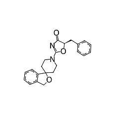 O=C1N=C(N2CCC3(CC2)OCc2ccccc23)O[C@@H]1Cc1ccccc1